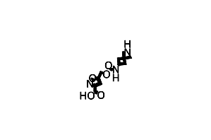 O=C(NC1CC2(CNC2)C1)OCc1cc(C(=O)O)no1